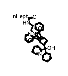 CCCCCCCC(=O)NCCN1C(=O)C2C3C=C(C(O)(c4ccccc4)c4ccccn4)C(C3=C(c3ccccc3)c3ccccn3)C2C1=O